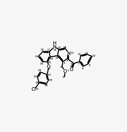 COCc1c(C(=O)c2ccccc2)ncc2[nH]c3cccc(Oc4ccc(Cl)cc4)c3c12